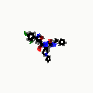 O=C(N[C@@H]1CCN(C2CCCC2)C[C@H]1C(=O)N[C@H]1C[C@@H]1c1ccccc1)c1cc(-c2ccc(F)cc2F)no1